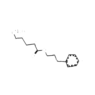 CCCCCCCCCCCCCC(=O)OCCCc1ccccc1